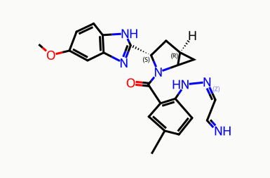 COc1ccc2[nH]c([C@@H]3C[C@H]4CC4N3C(=O)c3cc(C)ccc3N/N=C\C=N)nc2c1